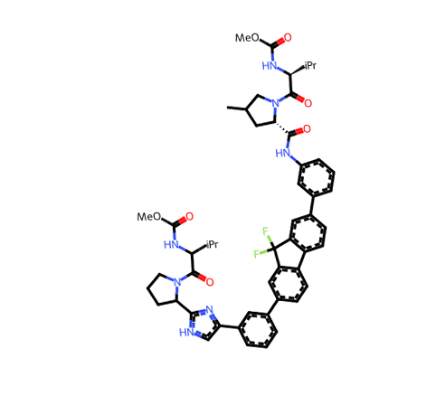 COC(=O)NC(C(=O)N1CCCC1c1nc(-c2cccc(-c3ccc4c(c3)C(F)(F)c3cc(-c5cccc(NC(=O)[C@@H]6CC(C)CN6C(=O)[C@@H](NC(=O)OC)C(C)C)c5)ccc3-4)c2)c[nH]1)C(C)C